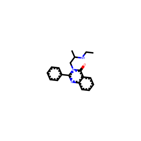 CCNC(C)Cn1c(-c2ccccc2)nc2ccccc2c1=O